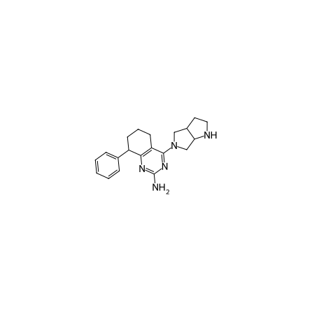 Nc1nc2c(c(N3CC4CCNC4C3)n1)CCCC2c1ccccc1